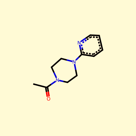 CC(=O)N1CCN(c2ccccn2)CC1